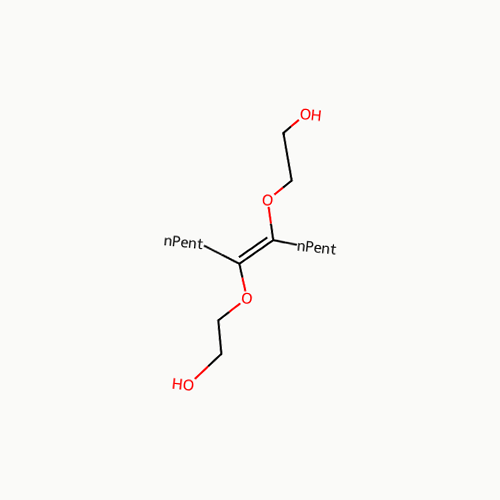 CCCCC/C(OCCO)=C(/CCCCC)OCCO